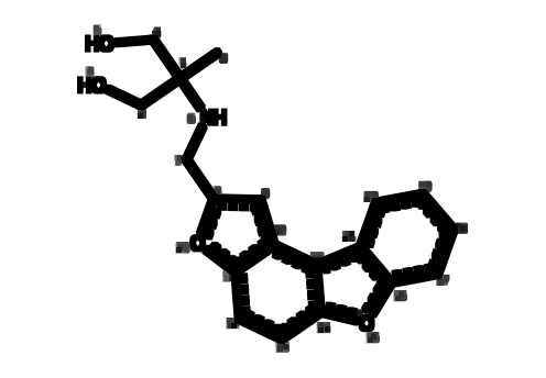 CC(CO)(CO)NCc1cc2c(ccc3oc4ccccc4c32)o1